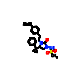 COc1ccc(CCN2C(=O)N(NS(C)(=O)=O)CC2C2(c3ccccc3)CC2)cc1